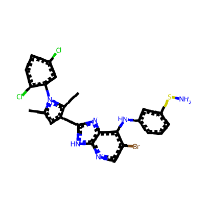 Cc1cc(-c2nc3c(Nc4cccc(SN)c4)c(Br)cnc3[nH]2)c(C)n1-c1cc(Cl)ccc1Cl